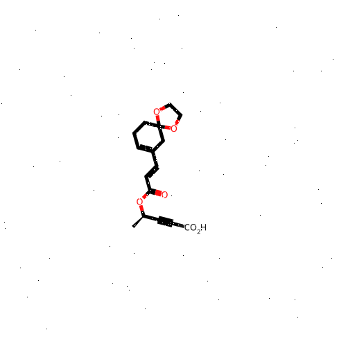 C[C@H](C#CC(=O)O)OC(=O)/C=C/C1=CCCC2(C1)OCCO2